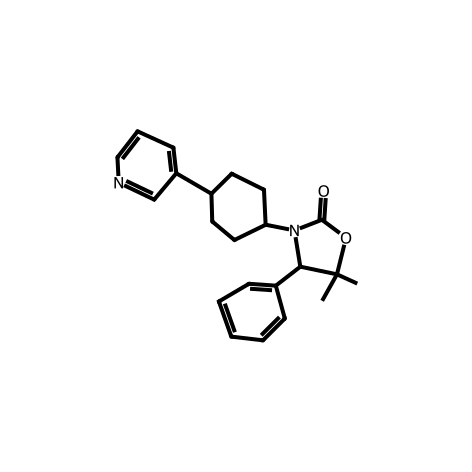 CC1(C)OC(=O)N(C2CCC(c3cccnc3)CC2)C1c1ccccc1